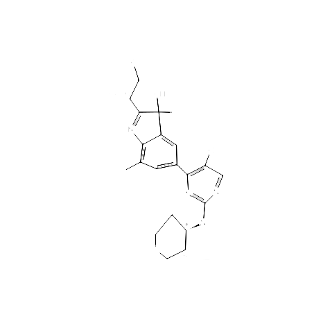 CC[C@@H](C)C1=Nc2c(F)cc(-c3nc(N[C@@H]4CCOC[C@H]4O)ncc3Cl)cc2C1(C)C